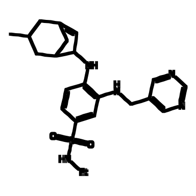 CCNS(=O)(=O)c1ccc(NC2C=C3CC(C)CC2C3)c(NCc2cncnc2)c1